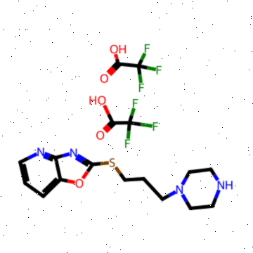 O=C(O)C(F)(F)F.O=C(O)C(F)(F)F.c1cnc2nc(SCCCN3CCNCC3)oc2c1